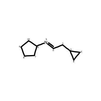 C(CC1CC1)=NC1CCCC1